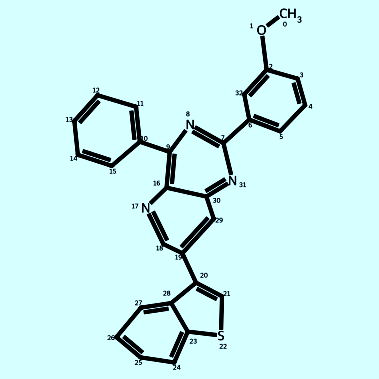 COc1cccc(-c2nc(-c3ccccc3)c3ncc(-c4csc5ccccc45)cc3n2)c1